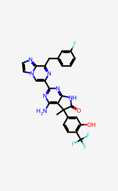 CC1(c2ccc(C(F)(F)F)c(O)c2)C(=O)Nc2nc(-c3cn4ccnc4c(Cc4cccc(F)c4)n3)nc(N)c21